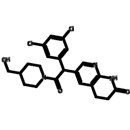 O=C1CCc2cc(C(C(=O)N3CCC(CO)CC3)c3cc(Cl)cc(Cl)c3)cnc2N1